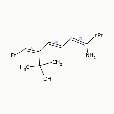 CC/C=C(/C=C/C=C(\N)CCC)C(C)(C)O